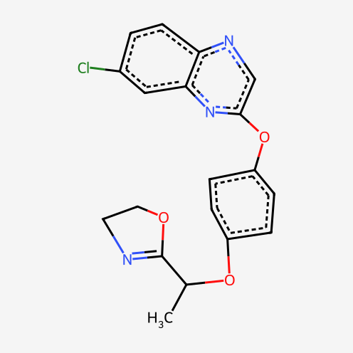 CC(Oc1ccc(Oc2cnc3ccc(Cl)cc3n2)cc1)C1=NCCO1